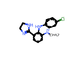 O=CNc1cccc(C2=NCCN2)c1Nc1ccc(Cl)cc1